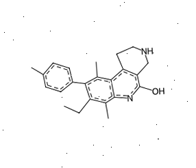 CCc1c(-c2ccc(C)cc2)c(C)c2c3c(c(O)nc2c1C)CNCC3